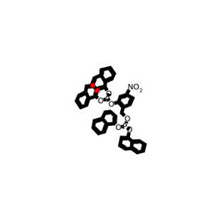 O=[N+]([O-])c1ccc(COP(Oc2cccc3ccccc23)Oc2cccc3ccccc23)c(OP(Oc2cccc3ccccc23)Oc2cccc3ccccc23)c1